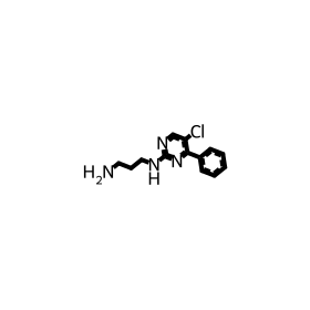 NCCCNc1ncc(Cl)c(-c2ccccc2)n1